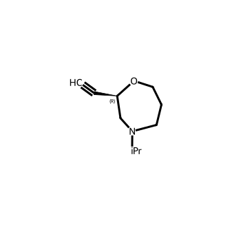 C#C[C@@H]1CN(C(C)C)CCCO1